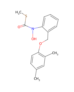 CSC(=O)N(O)c1ccccc1COc1ccc(C)cc1C